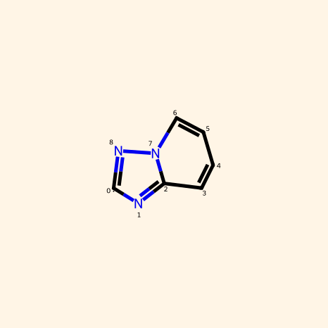 [c]1nc2ccccn2n1